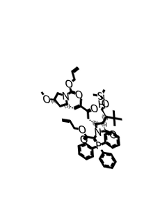 C=CCOC(=O)C(N1C(=O)[C@@H]([C@@H](CO[SiH](C)C)C(C)(C)C)[C@H]1CC(=O)C(C)=C[C@@H]1C[C@@H](OC)CN1C(=O)OCC=C)=P(c1ccccc1)(c1ccccc1)c1ccccc1